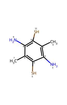 Cc1c(N)c(S)c(C)c(N)c1S